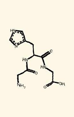 NCC(=O)NC(Cc1c[nH]cn1)C(=O)NCC(=O)O